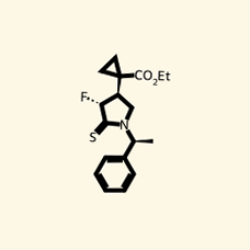 CCOC(=O)C1([C@H]2CN([C@@H](C)c3ccccc3)C(=S)[C@@H]2F)CC1